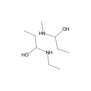 CCC(O)NC.CCNC(O)CC